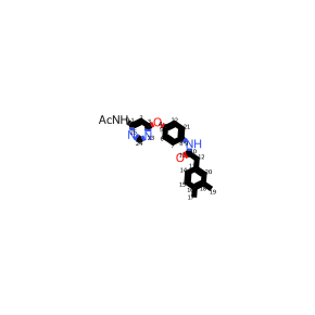 CC(=O)Nc1cc(Oc2ccc(NC(=O)Cc3ccc(C)c(C)c3)cc2)ncn1